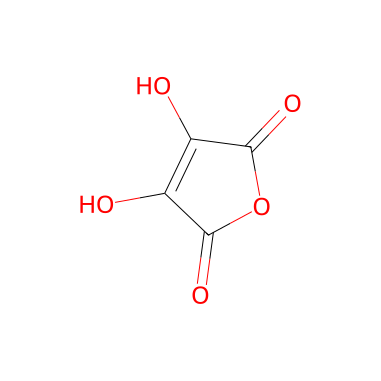 O=C1OC(=O)C(O)=C1O